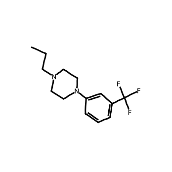 CCCN1CCN(c2c[c]cc(C(F)(F)F)c2)CC1